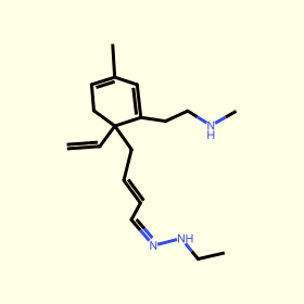 C=CC1(C/C=C/C=N\NCC)CC=C(C)C=C1CCNC